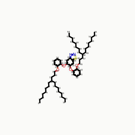 CCCCCCCCC(CCCCCCCC)CCCOc1ccccc1Oc1cc2nnsc2cc1Oc1ccccc1OCCCC(CCCCCCCC)CCCCCCCC